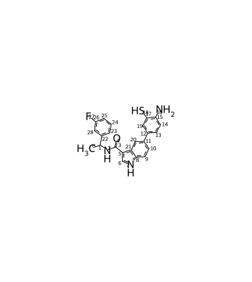 CC(NC(=O)c1c[nH]c2ccc(-c3ccc(N)c(S)c3)cc12)c1cccc(F)c1